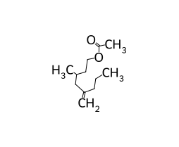 C=C(CCC)CC(C)CCOC(C)=O